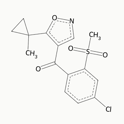 CC1(c2oncc2C(=O)c2ccc(Cl)cc2S(C)(=O)=O)CC1